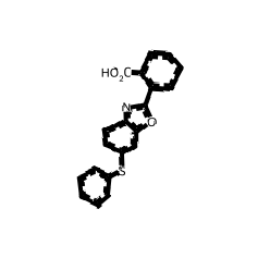 O=C(O)c1ccccc1-c1nc2ccc(Sc3ccccc3)cc2o1